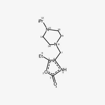 CCc1oc(=O)[nH]c1CN1CCN(C(C)C)CC1